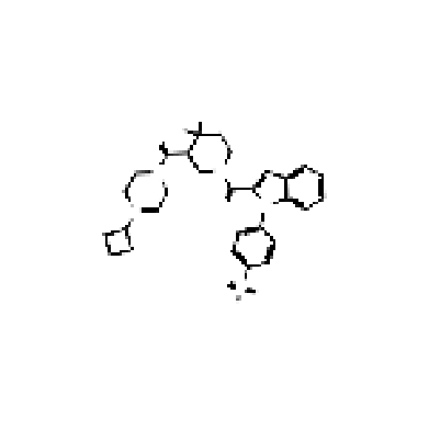 CS(=O)(=O)c1ccc(-n2c(C(=O)N3CCC(F)(F)C(C(=O)N4CCN(C5CCC5)CC4)C3)cc3ccccc32)cc1